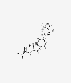 CC(C)NCc1cc2ccc(B3OC(C)(C)C(C)(C)O3)cc2[nH]1